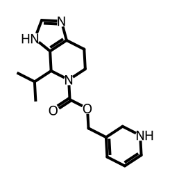 CC(C)C1c2[nH]cnc2CCN1C(=O)OCC1=CC=CNC1